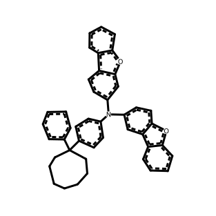 c1ccc(C2(c3ccc(N(c4ccc5c(c4)oc4ccccc45)c4ccc5oc6ccccc6c5c4)cc3)CCCCCCC2)cc1